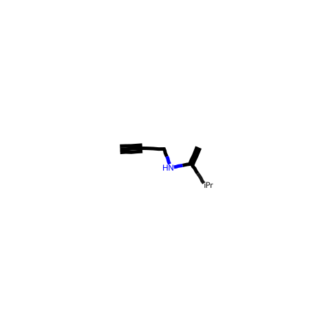 C#CCNC(=C)C(C)C